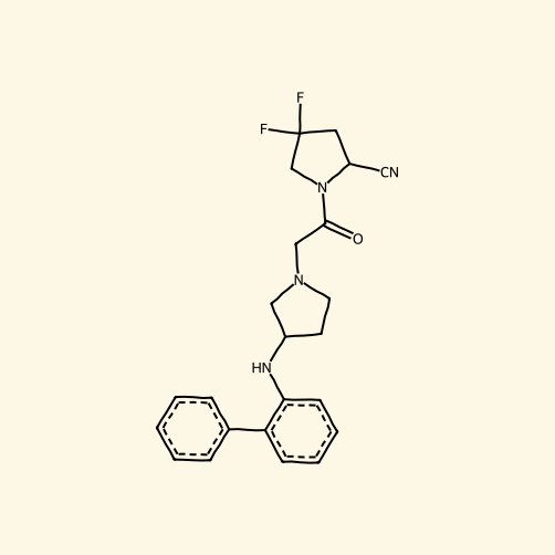 N#CC1CC(F)(F)CN1C(=O)CN1CCC(Nc2ccccc2-c2ccccc2)C1